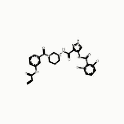 C=CC(=O)Nc1cccc(C(=O)N2CCC[C@@H](NC(=O)c3n[nH]cc3NC(=O)c3c(Cl)cccc3Cl)C2)c1